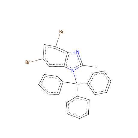 Cc1nc2c(Br)cc(Br)cc2n1C(c1ccccc1)(c1ccccc1)c1ccccc1